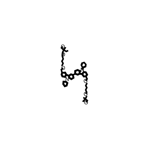 CCC1(COCCCCCOCc2ccc3c(c2)c2cc(-c4ccc5c(c4)c4cc(COCCCCCOCC6(C)COC6)ccc4n5C4=CCCC=C4)ccc2n3-c2ccccc2)COC1